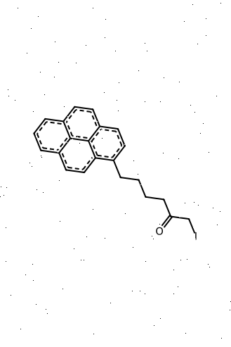 O=C(CI)CCCCc1ccc2ccc3cccc4ccc1c2c34